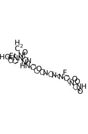 C=CCn1c(=O)c2cnc(Nc3ccc4c(c3)CCC3(CCN(C5CCN(C6CN(c7cc8c(cc7F)C(=O)N(C7CCC(=O)NC7=O)C8)C6)CC5)CC3)O4)nc2n1-c1ccc2c(n1)[C@@](O)(CC)CC2